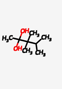 CC(C)C(C)(C)C(C)(O)O